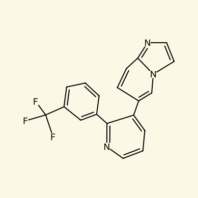 FC(F)(F)c1cccc(-c2ncccc2-c2ccc3nccn3c2)c1